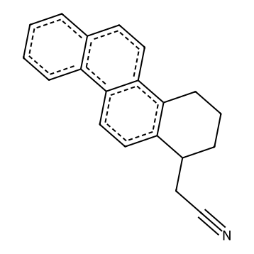 N#CCC1CCCc2c1ccc1c2ccc2ccccc21